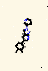 Cc1ccc(-c2cnc3nn(-c4cccnc4)cc3c2)cc1C